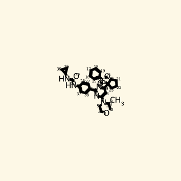 C[C@H]1COCCN1c1cc(C2(S(=O)(=O)c3ccccc3)CCCC2)nc(-c2ccc(NC(=O)NC3CC3)cc2)n1